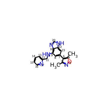 Cc1noc(C)c1-c1cc(NCc2ccccn2)c2nc[nH]c2c1